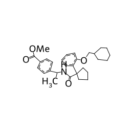 COC(=O)c1ccc(C(C)NC(=O)C2(c3ccccc3OCC3CCCCC3)CCCC2)cc1